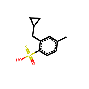 Cc1ccc(S(=O)(O)=S)c(CC2CC2)c1